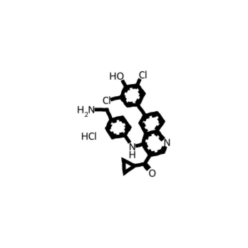 Cl.NCc1ccc(Nc2c(C(=O)C3CC3)cnc3ccc(-c4cc(Cl)c(O)c(Cl)c4)cc23)cc1